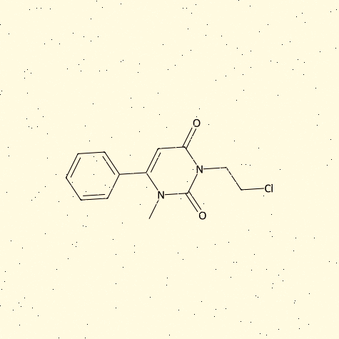 Cn1c(-c2ccccc2)cc(=O)n(CCCl)c1=O